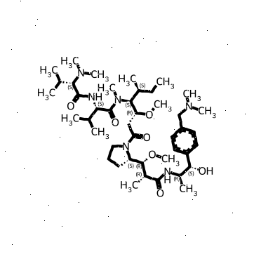 CC[C@H](C)[C@@H]([C@@H](CC(=O)N1CCC[C@H]1[C@H](OC)[C@@H](C)C(=O)N[C@H](C)[C@@H](O)c1ccc(CN(C)C)cc1)OC)N(C)C(=O)[C@@H](NC(=O)[C@H](C(C)C)N(C)C)C(C)C